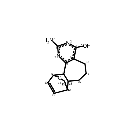 Nc1nc(O)c2c(n1)C1C3C=CC(CC3)C1CCC2